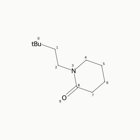 CC(C)(C)CCN1CCCCC1=O